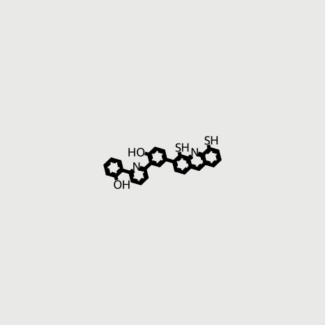 Oc1ccccc1-c1cccc(-c2cc(-c3ccc4cc5cccc(S)c5nc4c3S)ccc2O)n1